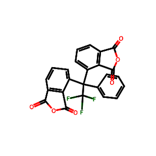 O=C1OC(=O)c2c1cccc2C(c1ccccc1)(c1cccc2c1C(=O)OC2=O)C(F)(F)F